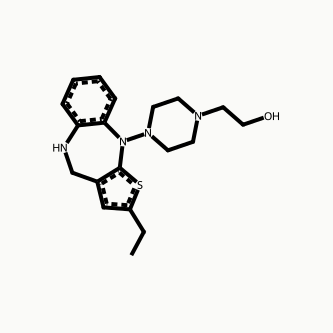 CCc1cc2c(s1)N(N1CCN(CCO)CC1)c1ccccc1NC2